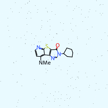 CNc1ccnc2sc3c(=O)n(C4CCCCC4)cnc3c12